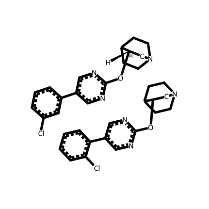 Clc1cccc(-c2cnc(O[C@H]3CN4CCC3CC4)nc2)c1.Clc1ccccc1-c1cnc(OC2CN3CCC2CC3)nc1